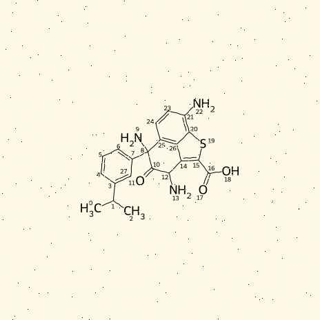 CC(C)c1cccc(C2(N)C(=O)C(N)c3c(C(=O)O)sc4c(N)ccc2c34)c1